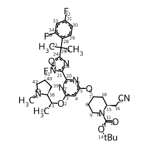 C[C@H](Oc1cc(O[C@H]2CCN(C(=O)OC(C)(C)C)[C@H](CC#N)C2)nc(-c2noc(C(C)(C)c3ccc(F)cc3F)n2)n1)[C@@H]1C[C@@H](F)CN1C